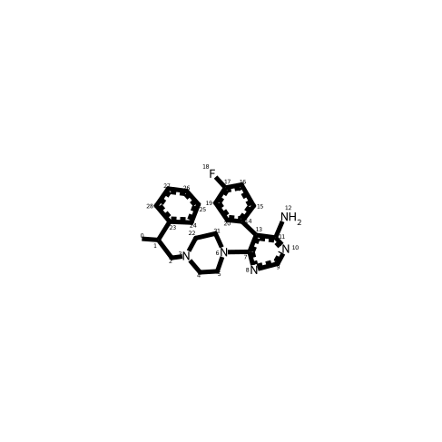 CC(CN1CCN(c2ncnc(N)c2-c2ccc(F)cc2)CC1)c1ccccc1